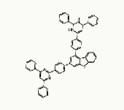 C1=C(c2ccc(-c3cc(-c4ccc(-c5nc(-c6ccccc6)cc(-c6ccccc6)n5)cc4)cc4sc5ccccc5c34)cc2)NC(c2ccccc2)NC1c1ccccc1